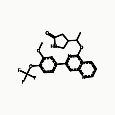 COc1cc(-c2cc3ncccc3c(OC(C)C3CNC(=O)C3)n2)ccc1OC(F)(F)F